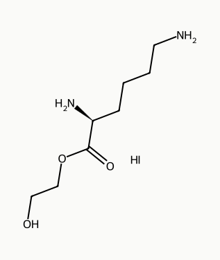 I.NCCCC[C@H](N)C(=O)OCCO